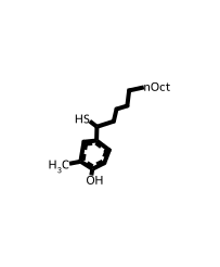 CCCCCCCCCCCCC(S)c1ccc(O)c(C)c1